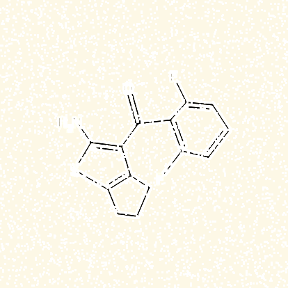 Nc1sc2c(c1C(=O)c1c(F)cccc1F)CCC2